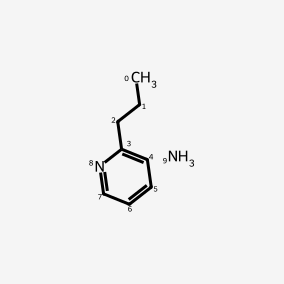 CCCc1ccccn1.N